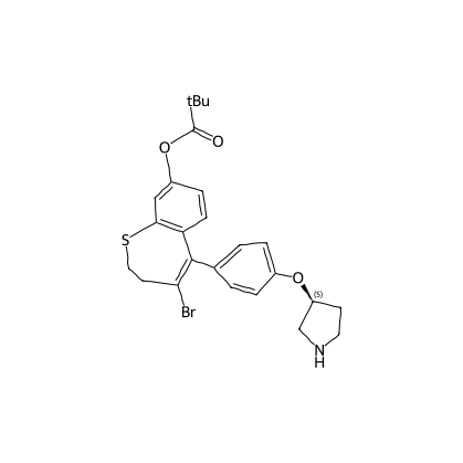 CC(C)(C)C(=O)Oc1ccc2c(c1)SCCC(Br)=C2c1ccc(O[C@H]2CCNC2)cc1